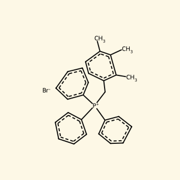 Cc1ccc(C[P+](c2ccccc2)(c2ccccc2)c2ccccc2)c(C)c1C.[Br-]